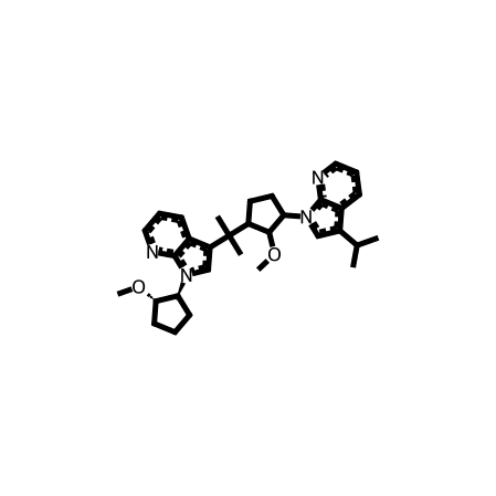 COC1C(n2cc(C(C)C)c3cccnc32)CCC1C(C)(C)c1cn([C@H]2CCC[C@@H]2OC)c2ncccc12